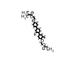 C=CC(=O)O/C=C\Oc1ccc(-c2ccc(-c3ccc(O/C=C\OC(=O)C(=C)C)cc3)cc2F)cc1F